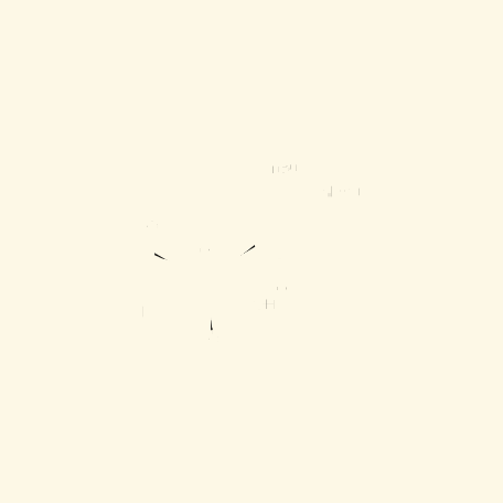 CCCCCC1CC(=O)C([C@@H]2O[C@H](CO)[C@@H](O)[C@H](O)[C@H]2O)=CC1CCCC